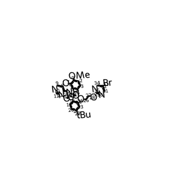 COc1ccccc1Oc1cncnc1NS(=O)(=O)c1ccc(C(C)(C)C)cc1OCCOc1ncc(Br)cn1